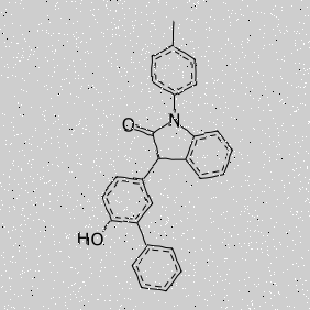 Cc1ccc(N2C(=O)C(c3ccc(O)c(-c4ccccc4)c3)c3ccccc32)cc1